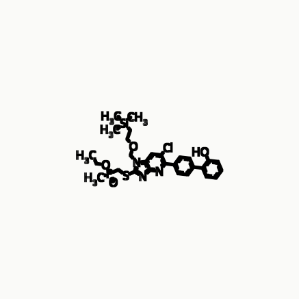 CCOP(C)(=O)CSc1nc2nc(-c3ccc(-c4ccccc4O)cc3)c(Cl)cc2n1COCC[Si](C)(C)C